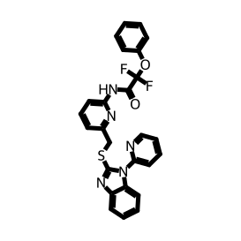 O=C(Nc1cccc(CSc2nc3ccccc3n2-c2ccccn2)n1)C(F)(F)Oc1ccccc1